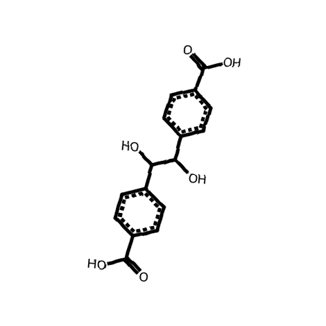 O=C(O)c1ccc(C(O)C(O)c2ccc(C(=O)O)cc2)cc1